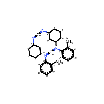 C(=NC1CCCCC1)=NC1CCCCC1.Cc1ccccc1N=C=Nc1ccccc1C